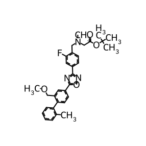 COCc1cc(-c2nc(-c3ccc(CN(C)CC(=O)OC(C)(C)C)c(F)c3)no2)ccc1-c1ccccc1C